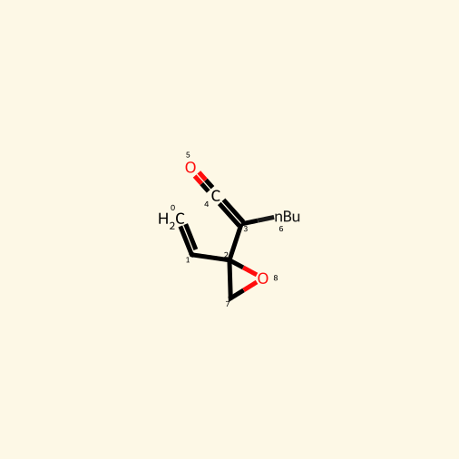 C=CC1(C(=C=O)CCCC)CO1